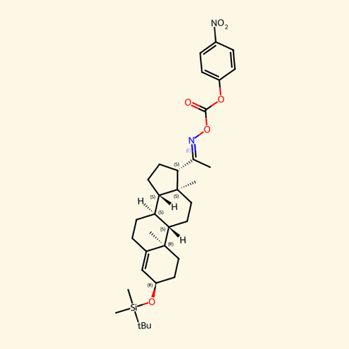 C/C(=N\OC(=O)Oc1ccc([N+](=O)[O-])cc1)[C@H]1CC[C@H]2[C@@H]3CCC4=C[C@H](O[Si](C)(C)C(C)(C)C)CC[C@]4(C)[C@H]3CC[C@]12C